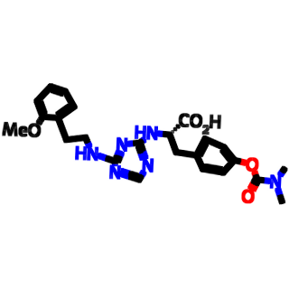 COc1ccccc1CCNc1ncnc(N[C@@H](Cc2ccc(OC(=O)N(C)C)cc2)C(=O)O)n1